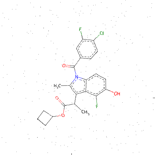 Cc1c(C(C)C(=O)OC2CCC2)c2c(F)c(O)ccc2n1C(=O)c1ccc(Cl)c(F)c1